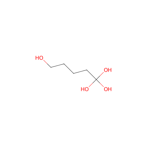 OCCCCC(O)(O)O